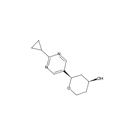 O[C@H]1CCO[C@@H](c2cnc(C3CC3)nc2)C1